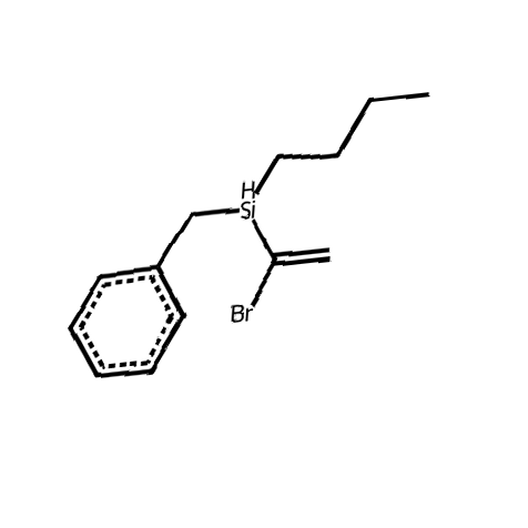 C=C(Br)[SiH](CCCC)Cc1ccccc1